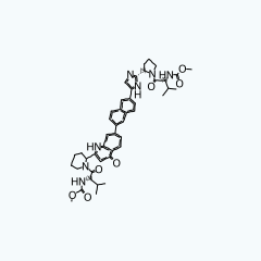 COC(=O)N[C@H](C(=O)N1CCCCC1c1cc(=O)c2ccc(-c3ccc4cc(-c5cnc([C@@H]6CCCN6C(=O)[C@@H](NC(=O)OC)C(C)C)[nH]5)ccc4c3)cc2[nH]1)C(C)C